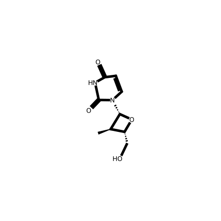 C[C@H]1[C@H](n2ccc(=O)[nH]c2=O)O[C@@H]1CO